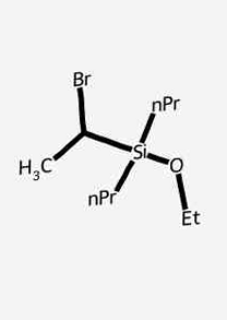 CCC[Si](CCC)(OCC)C(C)Br